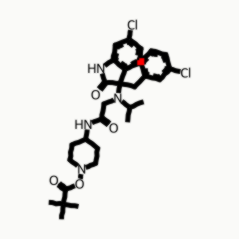 CC(C)N(CC(=O)NC1CCN(OC(=O)C(C)(C)C)CC1)C1(Cc2cccc(Cl)c2)C(=O)Nc2cc(Cl)ccc21